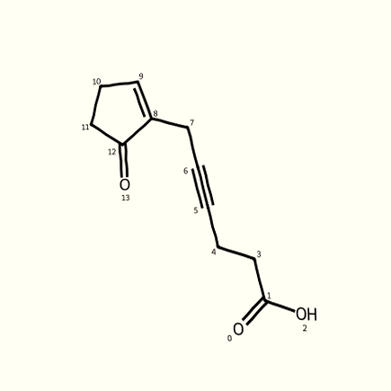 O=C(O)CCC#CCC1=CCCC1=O